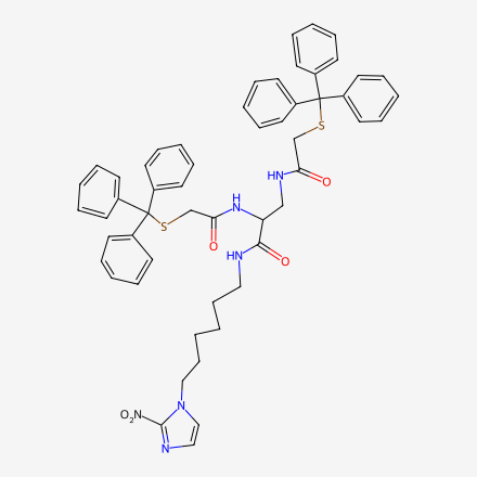 O=C(CSC(c1ccccc1)(c1ccccc1)c1ccccc1)NCC(NC(=O)CSC(c1ccccc1)(c1ccccc1)c1ccccc1)C(=O)NCCCCCCn1ccnc1[N+](=O)[O-]